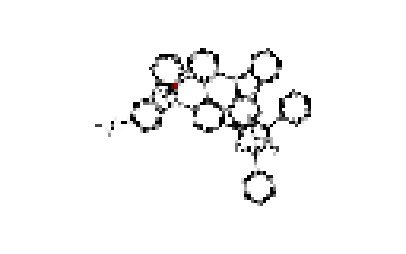 Cc1ccc2c(c1)c1ccccc1n2-c1ccc(-c2nc(-c3ccccc3)nc(-c3ccccc3)n2)cc1-c1c(C#N)cccc1-n1c2ccccc2c2cc(C)ccc21